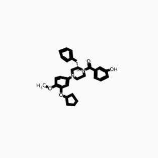 COc1ccc(N2CCN(C(=O)c3cccc(O)c3)[C@@H](Cc3ccccc3)C2)cc1OC1CCCC1